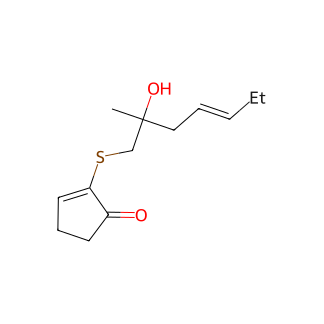 CCC=CCC(C)(O)CSC1=CCCC1=O